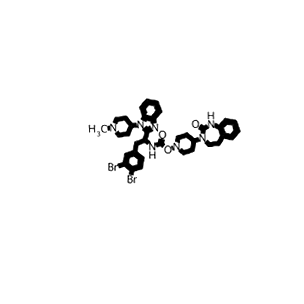 CN1CCC(n2c(C(Cc3ccc(Br)c(Br)c3)NC(=O)ON3CCC(N4CCc5ccccc5NC4=O)CC3)nc3ccccc32)CC1